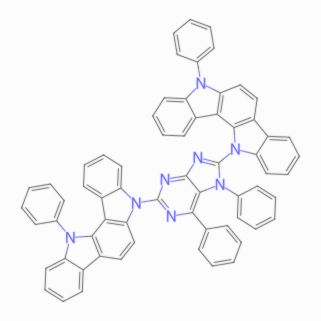 c1ccc(-c2nc(-n3c4ccccc4c4c3ccc3c5ccccc5n(-c5ccccc5)c34)nc3nc(-n4c5ccccc5c5ccc6c(c7ccccc7n6-c6ccccc6)c54)n(-c4ccccc4)c23)cc1